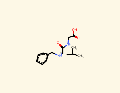 CC(C)C[C@H](NCc1ccccc1)C(=O)NCC(=O)O